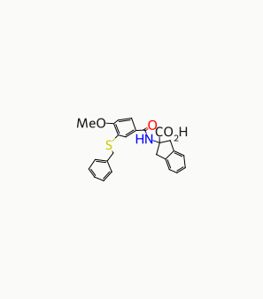 COc1ccc(C(=O)NC2(C(=O)O)Cc3ccccc3C2)cc1SCc1ccccc1